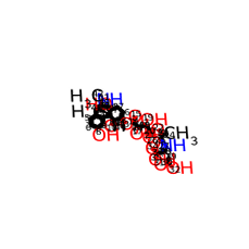 CC[C@]12c3c4ccc(O)c3O[C@H]1C(OC(=O)[C@H](O)[C@@H](O)C(=O)O[C@@H](C)C(=O)N[C@H](CC(=O)O)C(=O)O)=CC[C@@]2(O)[C@H](NC)C4